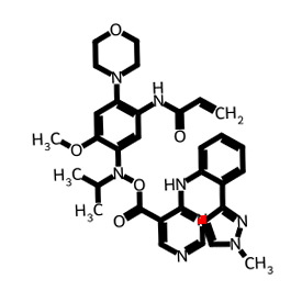 C=CC(=O)Nc1cc(N(OC(=O)c2cncnc2Nc2ccccc2-c2ccn(C)n2)C(C)C)c(OC)cc1N1CCOCC1